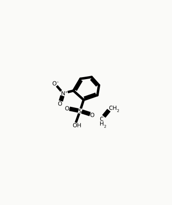 C=C.O=[N+]([O-])c1ccccc1S(=O)(=O)O